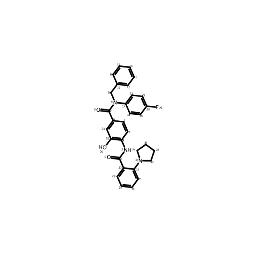 O=C(Nc1ccc(C(=O)N(Cc2ccccc2)c2ccc(F)cc2)cc1O)c1ccccc1N1CCCC1